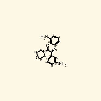 Nc1cccc(N=C(C(=O)N2CCOCC2)c2cccc(N)c2)c1